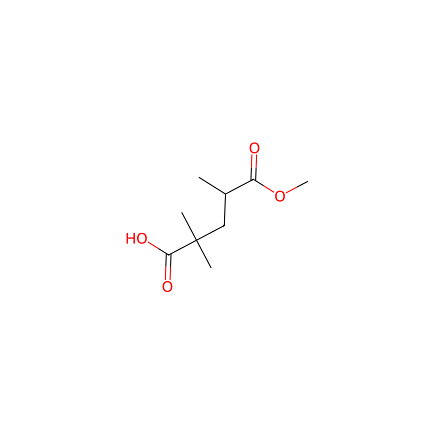 COC(=O)C(C)CC(C)(C)C(=O)O